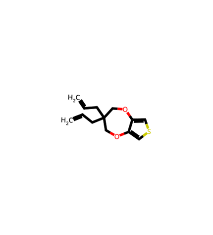 C=CCC1(CC=C)COc2cscc2OC1